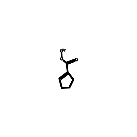 CCCOC(=O)C1=CCCC1